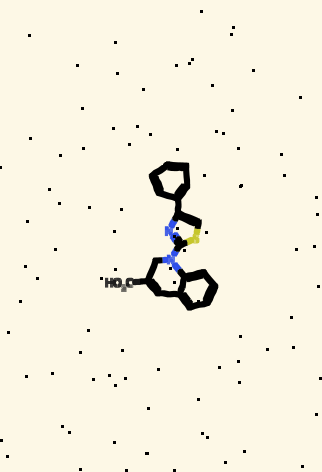 O=C(O)C1=Cc2ccccc2N(c2nc(-c3ccccc3)cs2)C1